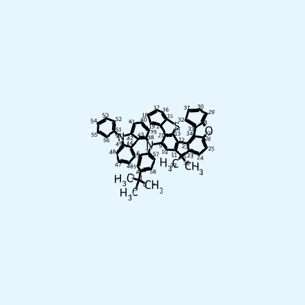 CC(C)(C)c1ccc(N(c2cc3c(c4sc5ccccc5c24)-c2c(ccc4oc5ccccc5c24)C3(C)C)c2cccc3c2c2ccccc2n3-c2ccccc2)cc1